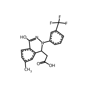 Cc1ccc2c(c1)C(CC(=O)O)N(c1cccc(C(F)(F)F)c1)N=C2O